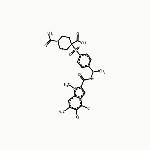 CC(=O)N1CCC(C(=O)O)(S(=O)(=O)c2ccc([C@@H](C)NC(=O)c3cc4c(Cl)c(Cl)c(C)cc4n3C)cc2)CC1